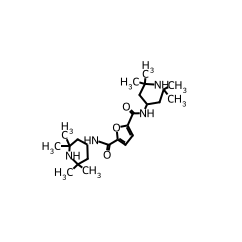 CC1(C)CC(NC(=O)c2ccc(C(=O)NC3CC(C)(C)NC(C)(C)C3)o2)CC(C)(C)N1